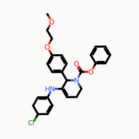 COCCOc1ccc(C2C(NC3=CCC(Cl)C=C3)=CCCN2C(=O)Oc2ccccc2)cc1